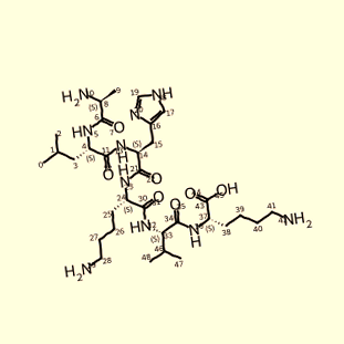 CC(C)C[C@H](NC(=O)[C@H](C)N)C(=O)N[C@@H](Cc1c[nH]cn1)C(=O)N[C@@H](CCCCN)C(=O)N[C@H](C(=O)N[C@@H](CCCCN)C(=O)O)C(C)C